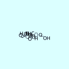 C[C@]12CC[C@H](OCCO)C[C@H]1CC[C@@H]1[C@@H]2CC[C@@]2(C)C13OC3C[C@]2(O)c1ccoc1